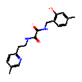 Cc1ccc(CCNC(=O)C(=O)NCc2ccc(C)cc2O)nc1